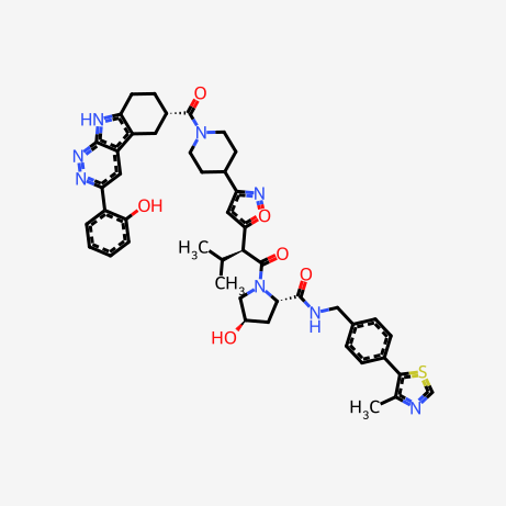 Cc1ncsc1-c1ccc(CNC(=O)[C@@H]2C[C@@H](O)CN2C(=O)[C@H](c2cc(C3CCN(C(=O)[C@H]4CCc5[nH]c6nnc(-c7ccccc7O)cc6c5C4)CC3)no2)C(C)C)cc1